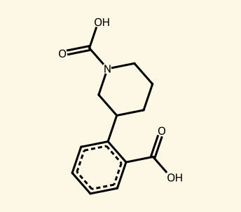 O=C(O)c1ccccc1C1CCCN(C(=O)O)C1